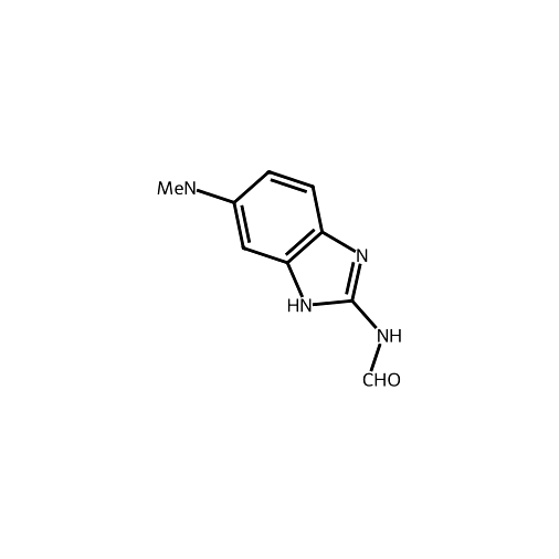 CNc1ccc2nc(NC=O)[nH]c2c1